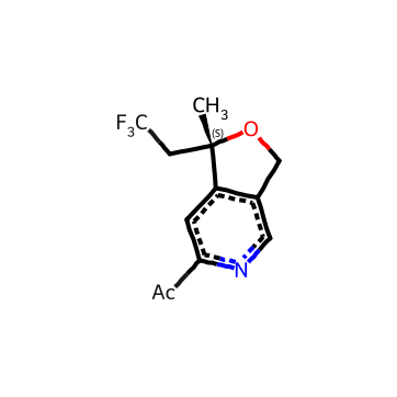 CC(=O)c1cc2c(cn1)CO[C@@]2(C)CC(F)(F)F